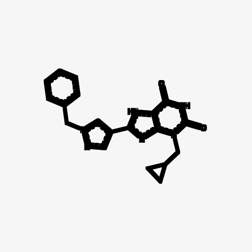 O=c1[nH]c(=O)n(CC2CC2)c2nc(-c3cnn(Cc4ccccc4)c3)[nH]c12